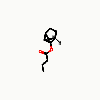 CCCC(=O)OC1=CC2CC[C@@H]1C2